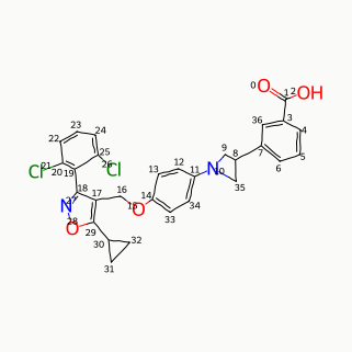 O=C(O)c1cccc(C2CN(c3ccc(OCc4c(-c5c(Cl)cccc5Cl)noc4C4CC4)cc3)C2)c1